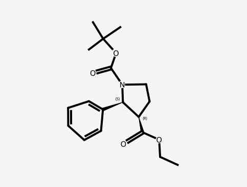 CCOC(=O)[C@@H]1CCN(C(=O)OC(C)(C)C)[C@@H]1c1ccccc1